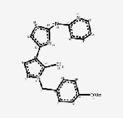 COc1ccc(Cn2ncc(-c3csc(Nc4ccccn4)n3)c2C(F)(F)F)cc1